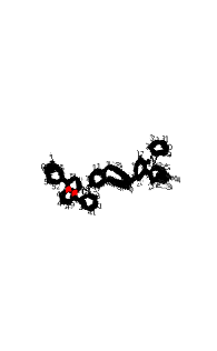 c1ccc(-c2ccc(N(c3ccc4cc(-c5ccc6c(c5)c5ccccc5n6-c5ccccc5)ccc4c3)c3ccccc3-c3ccccc3)cc2)cc1